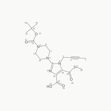 CC#CCn1c(N2CCN(C(=O)OC(C)(C)C)CC2)nc(C(=O)O)c1C(=O)SC